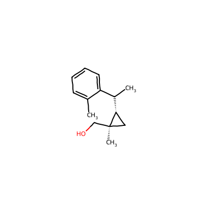 Cc1ccccc1C(C)[C@@H]1C[C@@]1(C)CO